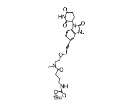 CN(CCOCC#Cc1ccc2c(c1)n(C)c(=O)n2C1CCC(=O)NC1=O)C(=O)CCCNC(=O)OC(C)(C)C